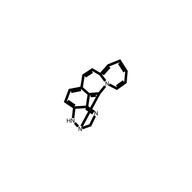 C1=CC=c2ccc3ccc4[nH]n5c(n2C=C1)=c3c4=NC5